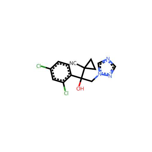 N#CC1(C(O)(Cn2cncn2)c2ccc(Cl)cc2Cl)CC1